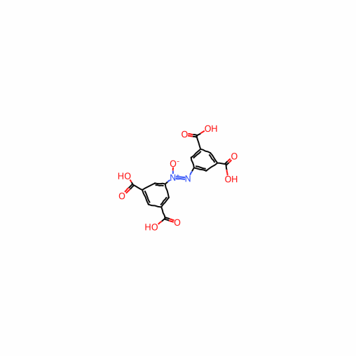 O=C(O)c1cc(/N=[N+](\[O-])c2cc(C(=O)O)cc(C(=O)O)c2)cc(C(=O)O)c1